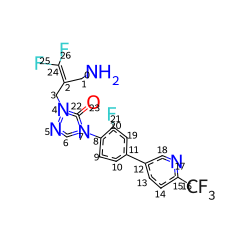 NCC(Cn1ncn(-c2ccc(-c3ccc(C(F)(F)F)nc3)cc2F)c1=O)=C(F)F